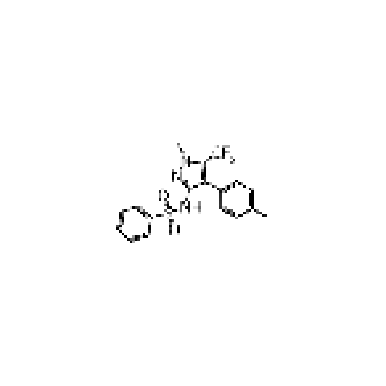 Cc1ccc(-c2c(NS(=O)(=O)c3ccccc3)nn(C)c2C(F)(F)F)cc1